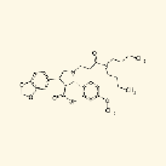 CCCCN(CCCC)C(=O)CCN1CC(c2ccc3c(c2)OCO3)[C@H](C(=O)O)[C@H]1c1ccc(OC)cc1